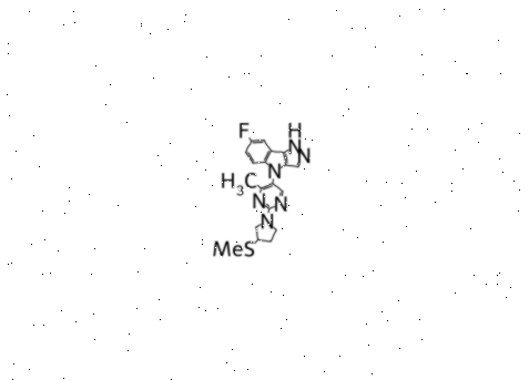 CSC1CCN(c2ncc(-n3c4ccc(F)cc4c4[nH]ncc43)c(C)n2)C1